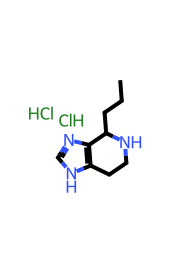 CCCC1NCCc2[nH]cnc21.Cl.Cl